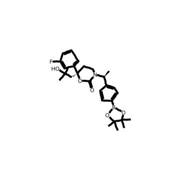 C[C@@H](c1ccc(B2OC(C)(C)C(C)(C)O2)cc1)N1CC[C@](CC(C)(C)O)(c2cccc(F)c2)OC1=O